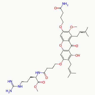 COC(=O)[C@@H](CCCNC(=N)N)NC(=O)CCCOc1cc2oc3cc(OCCCC(N)=O)c(OC)c(CC=C(C)C)c3c(=O)c2c(O)c1CC=C(C)C